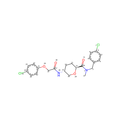 CN(Cc1ccc(Cl)cc1)C(=O)[C@@H]1CC[C@@H](NC(=O)COc2ccc(Cl)cc2)CO1